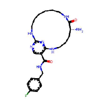 N[C@@H]1CCCNc2nc(ncc2C(=O)NCc2ccc(F)cc2)NCCCCCCNC1=O